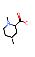 C[C@H]1CCN(C)[C@@H](C(=O)O)C1